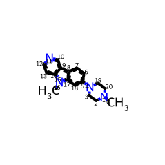 CN1CCN(c2ccc3c4cnccc4n(C)c3c2)CC1